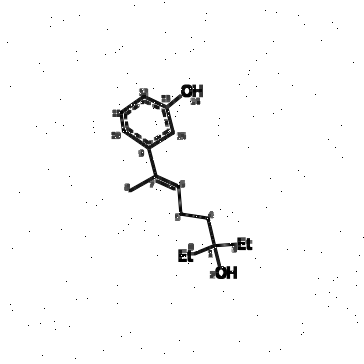 CCC(O)(CC)CCC=C(C)c1cccc(O)c1